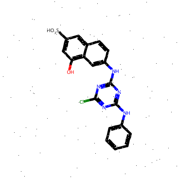 O=S(=O)(O)c1cc(O)c2cc(Nc3nc(Cl)nc(Nc4ccccc4)n3)ccc2c1